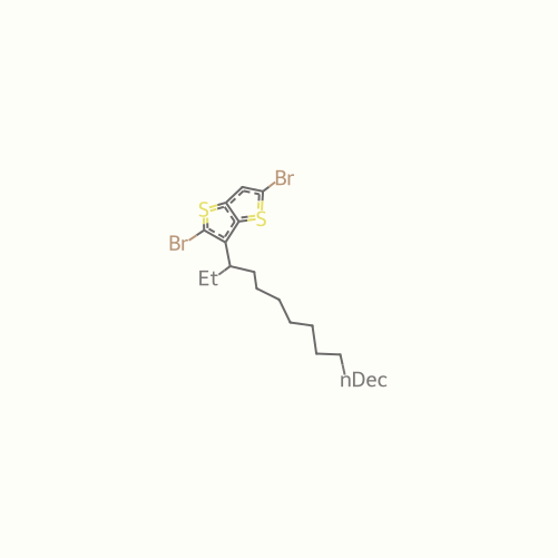 CCCCCCCCCCCCCCCCCC(CC)c1c(Br)sc2cc(Br)sc12